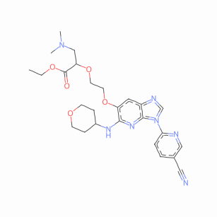 CCOC(=O)C(CN(C)C)OCCOc1cc2ncn(-c3ccc(C#N)cn3)c2nc1NC1CCOCC1